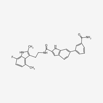 Cc1[nH]c2c(F)ccc(C)c2c1CCNC(=O)c1cc2ccc(-c3cccc(C(N)=O)c3)cc2[nH]1